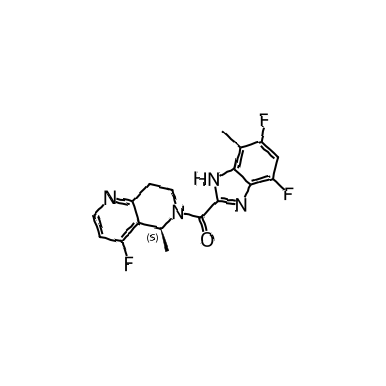 Cc1c(F)cc(F)c2nc(C(=O)N3CCc4nccc(F)c4[C@@H]3C)[nH]c12